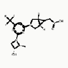 C[C@H]1[C@H](O)CN1c1nc(N2C[C@@H]3C(CS(=O)O)[C@@H]3C2)cc(C(F)(F)F)n1